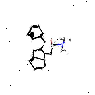 CN([Si](=O)CC1C(Cc2ccccc2)=Cc2ccccc21)C(C)(C)C.[Ti]